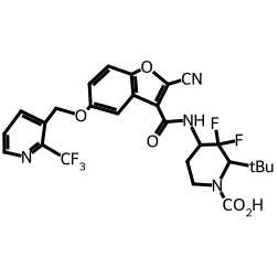 CC(C)(C)C1N(C(=O)O)CCC(NC(=O)c2c(C#N)oc3ccc(OCc4cccnc4C(F)(F)F)cc23)C1(F)F